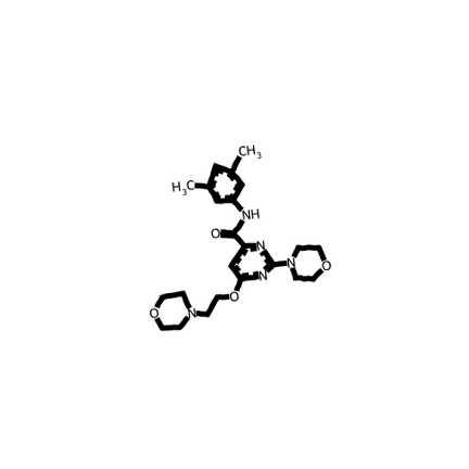 Cc1cc(C)cc(NC(=O)c2cc(OCCN3CCOCC3)nc(N3CCOCC3)n2)c1